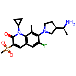 Cc1c(N2CC[C@@H]([C@H](C)N)C2)c(F)cc2cc(S(C)(=O)=O)c(=O)n(C3CC3)c12